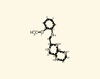 COc1ccccc1N=Cc1ncc2nccnc2n1